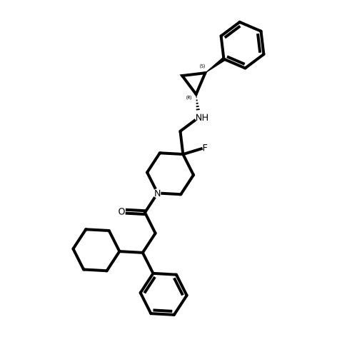 O=C(CC(c1ccccc1)C1CCCCC1)N1CCC(F)(CN[C@@H]2C[C@H]2c2ccccc2)CC1